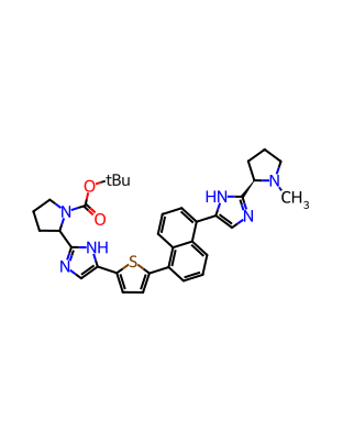 CN1CCC[C@@H]1c1ncc(-c2cccc3c(-c4ccc(-c5cnc(C6CCCN6C(=O)OC(C)(C)C)[nH]5)s4)cccc23)[nH]1